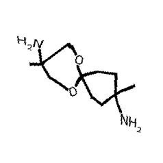 CC1(N)CCC2(CC1)OCC(C)(N)CO2